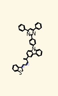 C=C(/C=C\C=C1/CSc2ccccc21)c1ccc2c(c1)c1ccccc1n2-c1ccc(-c2nc(-c3ccccc3)cc(-c3ccccc3)n2)cc1